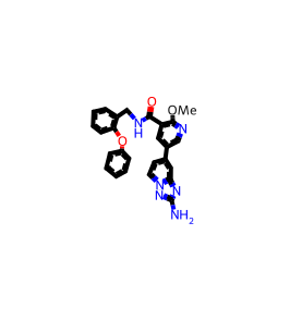 COc1ncc(-c2ccn3nc(N)nc3c2)cc1C(=O)NCc1ccccc1Oc1ccccc1